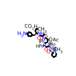 CCCN(C(=O)[C@@H](NC(=O)[C@H]1CCCCN1C)[C@@H](C)CC)C(C[C@@H](OC(C)=O)c1nc(C(=O)N[C@@H](Cc2ccc(N)cc2)C[C@H](C)C(=O)O)cs1)C(C)C